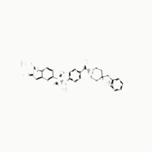 CN1C(=O)C=C2C=C(S(=O)(=O)Nc3ccc(C(=O)N4CCC(O)(Cc5ccccc5)CC4)cc3)C=CC21